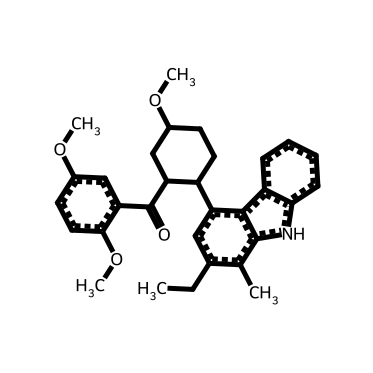 CCc1cc(C2CCC(OC)CC2C(=O)c2cc(OC)ccc2OC)c2c([nH]c3ccccc32)c1C